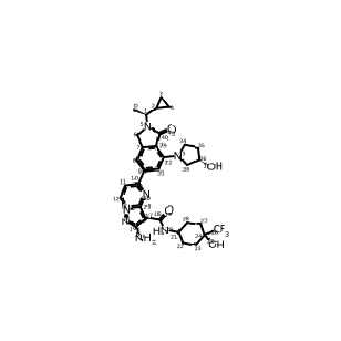 C[C@@H](C1CC1)N1Cc2cc(-c3ccn4nc(N)c(C(=O)NC5CCC(O)(C(F)(F)F)CC5)c4n3)cc(N3CC[C@@H](O)C3)c2C1=O